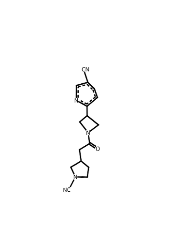 N#Cc1ccc(C2CN(C(=O)CC3CCN(C#N)C3)C2)nc1